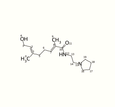 CC(=CCO)CCC=C(C)C(=O)NCCN1CCCC1